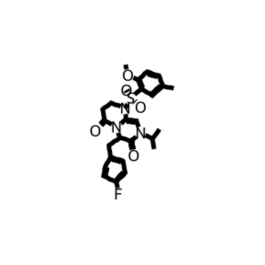 COc1ccc(C)cc1S(=O)(=O)N1CCC(=O)N2C1=CN(C(C)C)C(=O)C2Cc1ccc(F)cc1